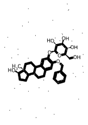 C[C@]12CCC3c4cc(O[C@@H]5O[C@H](CO)[C@@H](O)[C@H](O)[C@H]5O)c(OCc5ccccc5)cc4CCC3C1CC[C@H]2O